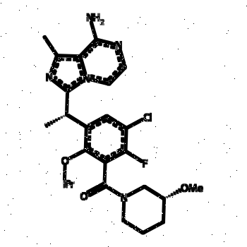 CO[C@@H]1CCCN(C(=O)c2c(F)c(Cl)cc([C@H](C)c3nc(C)c4c(N)nccn34)c2OC(C)C)C1